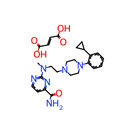 CN(CCN1CCN(c2ccccc2C2CC2)CC1)c1nccc(C(N)=O)n1.O=C(O)C=CC(=O)O